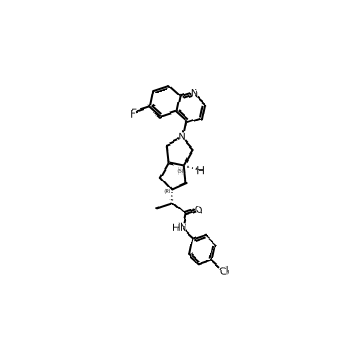 CC(C(=O)Nc1ccc(Cl)cc1)[C@@H]1CC2CN(c3ccnc4ccc(F)cc34)C[C@H]2C1